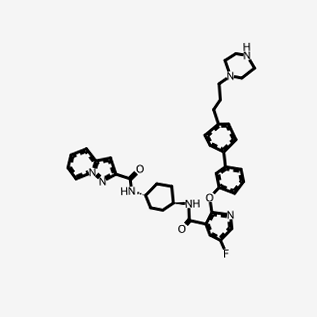 O=C(N[C@H]1CC[C@H](NC(=O)c2cc(F)cnc2Oc2cccc(-c3ccc(CCCN4CCNCC4)cc3)c2)CC1)c1cc2ccccn2n1